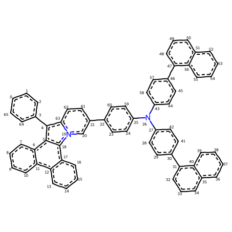 c1ccc(-c2c3c4ccccc4c4ccccc4c3n3cc(-c4ccc(N(c5ccc(-c6cccc7ccccc67)cc5)c5ccc(-c6cccc7ccccc67)cc5)cc4)ccc23)cc1